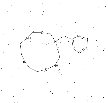 c1ccc(CN2CCCNCCNCCCNCC2)nc1